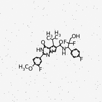 COc1ccc(-c2nn3cc(C(=O)NC(c4ccc(F)cc4)C(F)(F)CO)c(C(C)C)c3c(=O)[nH]2)cc1F